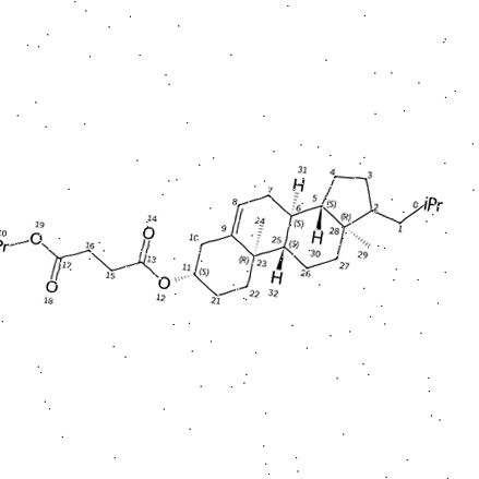 CC(C)CC1CC[C@H]2[C@@H]3CC=C4C[C@@H](OC(=O)CCC(=O)OC(C)C)CC[C@]4(C)[C@H]3CC[C@]12C